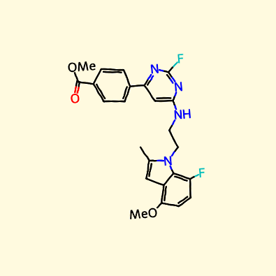 COC(=O)c1ccc(-c2cc(NCCn3c(C)cc4c(OC)ccc(F)c43)nc(F)n2)cc1